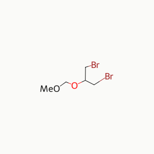 COCOC(CBr)CBr